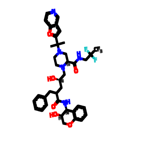 CC(C)(c1cc2cnccc2o1)N1CCN(C[C@@H](O)CC(Cc2ccccc2)C(=O)N[C@H]2c3ccccc3OC[C@H]2O)[C@H](C(=O)NCC(F)(F)C(F)(F)F)C1